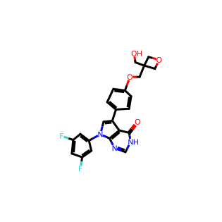 O=c1[nH]cnc2c1c(-c1ccc(OCC3(CO)COC3)cc1)cn2-c1cc(F)cc(F)c1